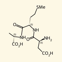 CSCC[C@H](NC(=O)[C@@H](N)CC(=O)O)C(=O)N[C@@H](C)C(=O)O